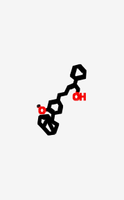 COc1cc(CCC=C(CO)c2ccccc2)ccc1C12CC3CC(CC(C3)C1)C2